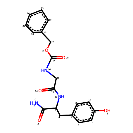 NC(=O)C(Cc1ccc(O)cc1)NC(=O)CNC(=O)OCc1ccccc1